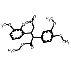 CCOC(=O)C(c1ccc(OC)c(OC)c1)C(C[N+](=O)[O-])c1cccc(OC)c1Cl